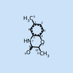 Cc1ccc2c(c1)NC(=O)C(C)O2